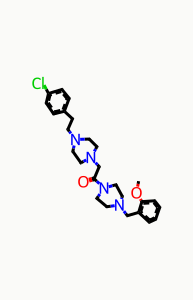 COc1ccccc1CN1CCN(C(=O)CN2CCN(CCc3ccc(Cl)cc3)CC2)CC1